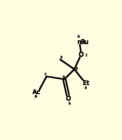 CCCCOC(C)(CC)C(=O)CC(C)=O